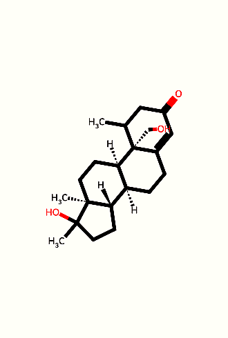 CC1CC(=O)C=C2CC[C@@H]3[C@@H](CC[C@@]4(C)[C@H]3CCC4(C)O)[C@]21CO